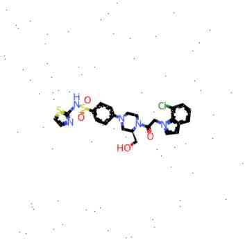 O=C(Cn1ccc2cccc(Cl)c21)N1CCN(c2ccc(S(=O)(=O)Nc3nccs3)cc2)C[C@@H]1CO